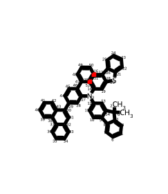 CC1(C)c2ccccc2-c2ccc(N(c3ccc4c(c3)sc3ccccc34)c3cc(-c4cc5ccccc5c5ccccc45)ccc3-c3ccccc3)cc21